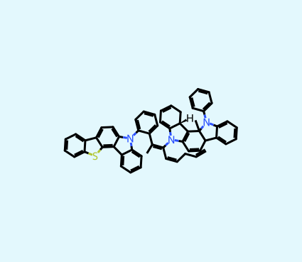 C=CC/C=C\C(=C(/C)c1ccccc1-n1c2ccccc2c2c3sc4ccccc4c3ccc21)N1C2=CC=CC[C@@H]2C2=C1C=CC1c3ccccc3N(c3ccccc3)C21C